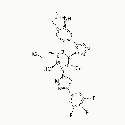 Cc1nc2ccc(-n3cnnc3[C@@H]3O[C@H](CCO)[C@H](O)[C@H](n4cc(-c5cc(F)c(F)c(F)c5)nn4)[C@H]3O)cc2[nH]1